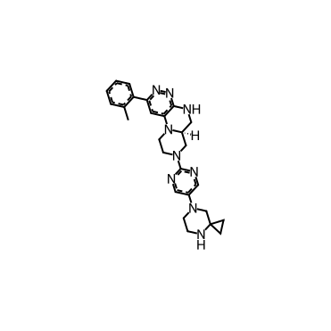 Cc1ccccc1-c1cc2c(nn1)NC[C@H]1CN(c3ncc(N4CCNC5(CC5)C4)cn3)CCN21